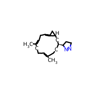 C/C1=C\C/C=C2\C[C@@H]2C[C@@H](C2CCN=N2)CC/C(C)=C/CC1